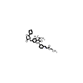 CCOC(=O)/C=C/c1cccc(NC(=O)C(c2ccc(CN3N=C(c4ccccc4)OCC3=O)cc2)C(C)C)c1